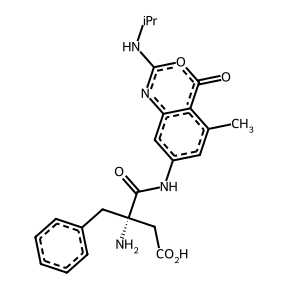 Cc1cc(NC(=O)[C@@](N)(CC(=O)O)Cc2ccccc2)cc2nc(NC(C)C)oc(=O)c12